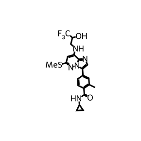 CSc1cc(NCC(O)C(F)(F)F)c2ncc(-c3ccc(C(=O)NC4CC4)c(C)c3)n2n1